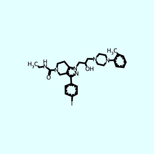 CCNC(=O)N1CCc2c(c(-c3ccc(I)cc3)nn2CC(O)CN2CCN(c3ccccc3C)CC2)C1